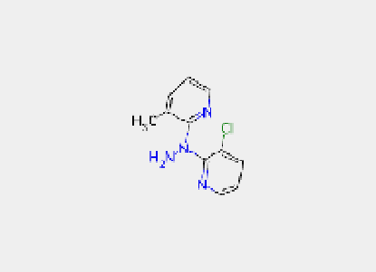 Cc1cccnc1N(N)c1ncccc1Cl